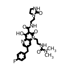 CN(C)C(=O)NCCn1c(=O)c(C(=O)NCCN2CCNC2=O)c(O)c2ncc(Cc3ccc(F)cc3)cc21